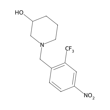 O=[N+]([O-])c1ccc(CN2CCCC(O)C2)c(C(F)(F)F)c1